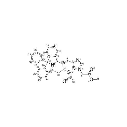 COC(=O)Cn1cnc(C=C2CN(C(c3ccccc3)(c3ccccc3)c3ccccc3)CCC2SC(C)=O)n1